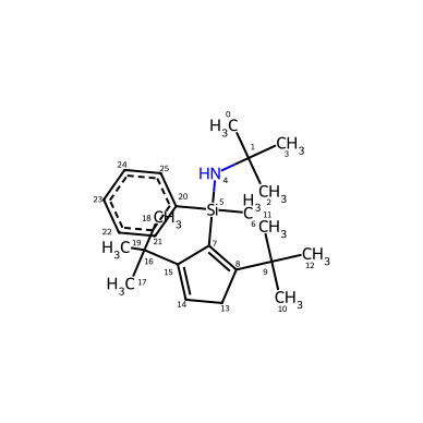 CC(C)(C)N[Si](C)(C1=C(C(C)(C)C)CC=C1C(C)(C)C)c1ccccc1